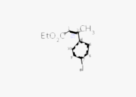 CCOC(=O)/C=C(/C)c1ccc(I)cc1